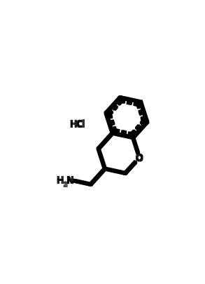 Cl.NCC1COc2ccccc2C1